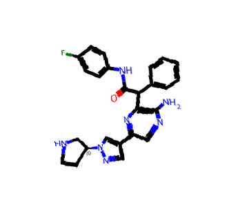 Nc1ncc(-c2cnn([C@H]3CCNC3)c2)nc1C(C(=O)Nc1ccc(F)cc1)c1ccccc1